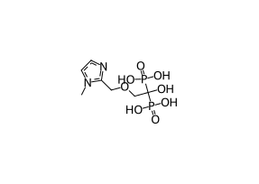 Cn1ccnc1COCC(O)(P(=O)(O)O)P(=O)(O)O